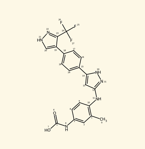 Cc1cc(NC(=O)O)ccc1Nc1cc(-c2ccc(-c3c[nH]nc3C(F)(F)F)cc2)[nH]n1